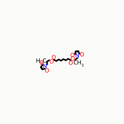 CC(COC(=O)CCCCCCC(=O)OC(C)CN1C(=O)C=CC1=O)CN1C(=O)C=CC1=O